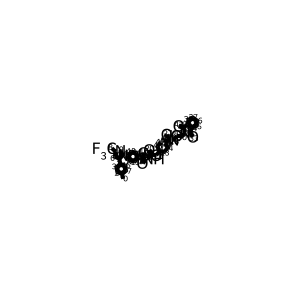 Cc1ccc(-c2cc(C(F)(F)F)nn2-c2ccc(S(=O)(=O)NC(=O)OC3CCN(/[N+]([O-])=N/OCN4C(=O)c5ccccc5C4=O)CC3)cc2)cc1